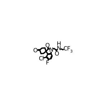 O=C1CCC2(CC1)C(=O)N(CC(=O)NCC(F)(F)F)c1ccc(F)c(Cl)c12